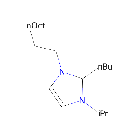 CCCCCCCCCCN1C=CN(C(C)C)C1CCCC